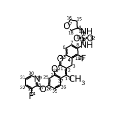 Cc1c(Cc2cccc(NS(=O)(=O)NC3CCOC3)c2F)c(=O)oc2cc(Oc3ncccc3F)ccc12